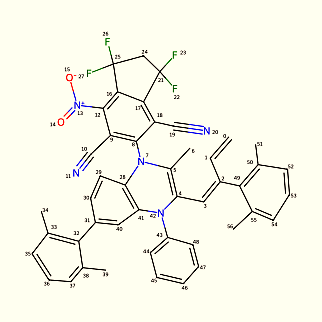 C=C/C(=C\C1=C(C)N(c2c(C#N)c([N+](=O)[O-])c3c(c2C#N)C(F)(F)CC3(F)F)c2ccc(-c3c(C)cccc3C)cc2N1c1ccccc1)c1c(C)cccc1C